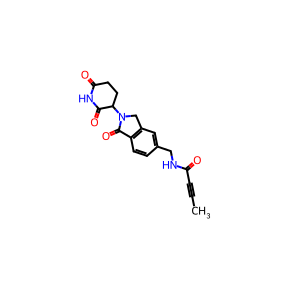 CC#CC(=O)NCc1ccc2c(c1)CN(C1CCC(=O)NC1=O)C2=O